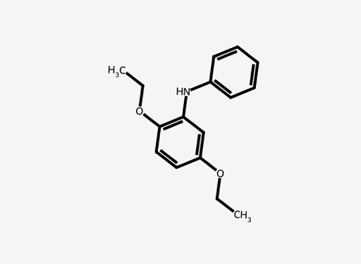 CCOc1ccc(OCC)c(Nc2ccccc2)c1